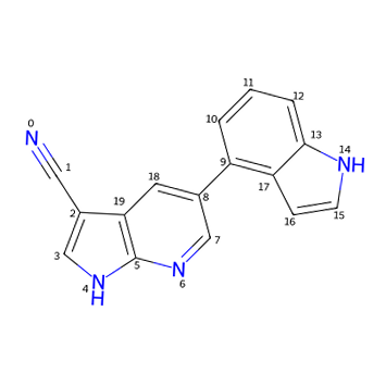 N#Cc1c[nH]c2ncc(-c3cccc4[nH]ccc34)cc12